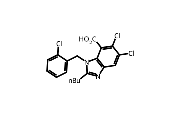 CCCCc1nc2cc(Cl)c(Cl)c(C(=O)O)c2n1Cc1ccccc1Cl